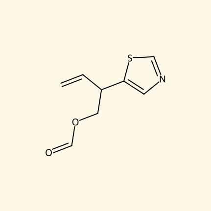 C=CC(COC=O)c1cncs1